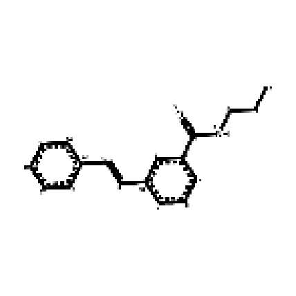 CCCNC(=O)c1cccc(C=Cc2ccccc2)c1